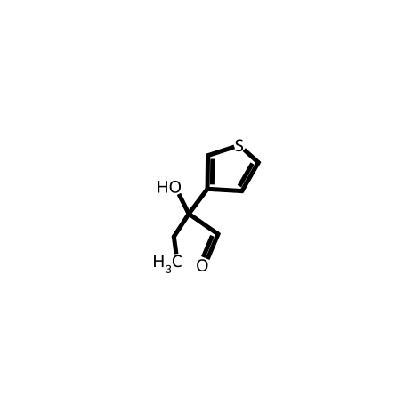 CCC(O)(C=O)c1ccsc1